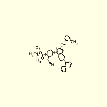 CN1CCC[C@H]1COc1nc2c(c(N3CCN(C(=O)OC(C)(C)C)C(CC#N)C3)n1)CCN(c1cccc3ccccc13)C2